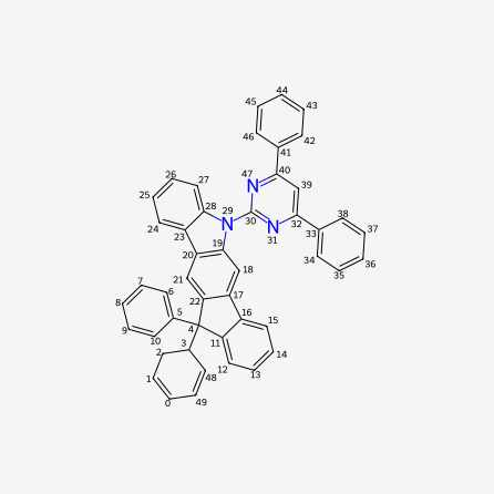 C1=CCC(C2(c3ccccc3)c3ccccc3-c3cc4c(cc32)c2ccccc2n4-c2nc(-c3ccccc3)cc(-c3ccccc3)n2)C=C1